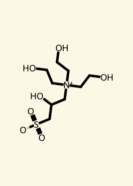 O=S(=O)([O-])CC(O)C[N+](CCO)(CCO)CCO